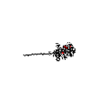 CCCCCCCCCCCCCCCCCCSCCO[C@H]1O[C@H](COC(C)=O)[C@@H](O[C@@H]2O[C@H](COC(C)=O)[C@H](O[C@@H]3O[C@H](COC(C)=O)[C@H](OC(C)=O)[C@H](OC(C)=O)[C@H]3OC(C)=O)[C@H](OC(C)=O)[C@H]2OC(C)=O)[C@H](OC(C)=O)[C@@H]1N1C(=O)c2ccccc2C1=O